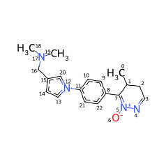 CC1CC=N[N+]([O-])=C1c1ccc(-n2ccc(CN(C)C)c2)cc1